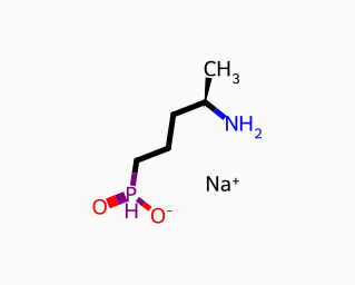 C[C@@H](N)CCC[PH](=O)[O-].[Na+]